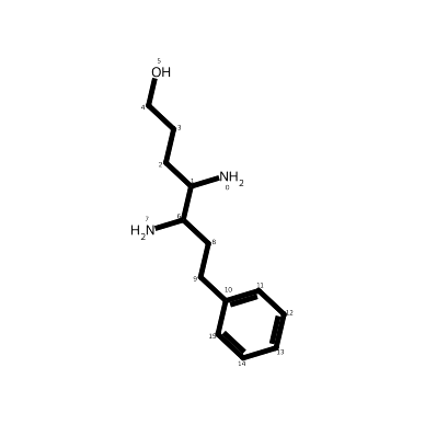 NC(CCCO)C(N)CCc1ccccc1